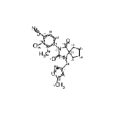 Cc1cc(CN2C(=O)N(c3ccc(C#N)c(Cl)c3C)C(=O)C23CCCC3)no1